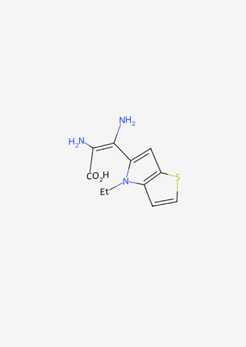 CCn1c(/C(N)=C(/N)C(=O)O)cc2sccc21